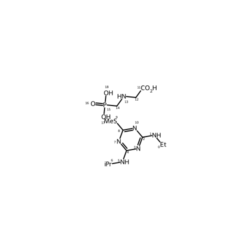 CCNc1nc(NC(C)C)nc(SC)n1.O=C(O)CNCP(=O)(O)O